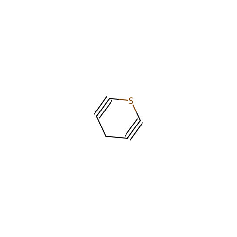 C1#CSC#CC1